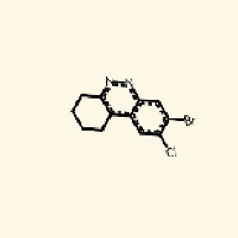 Clc1cc2c3c(nnc2cc1Br)CCCC3